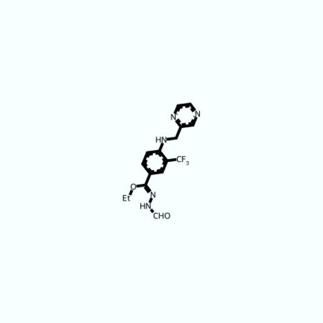 CCO/C(=N\NC=O)c1ccc(NCc2cnccn2)c(C(F)(F)F)c1